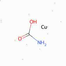 NC(=O)O.[Cu]